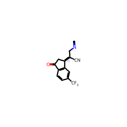 C=NC/C(C#N)=C1\CC(=O)c2ccc(C(F)(F)F)cc21